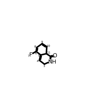 O=C1NCC=C2C(F)=CC=CC12